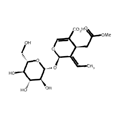 C/C=C1/[C@@H](O[C@H]2O[C@@H](CO)[C@H](O)[C@@H](O)[C@@H]2O)OC=C(C(=O)O)[C@H]1CC(=O)OC